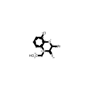 CC(C)C1Oc2c(Cl)cccc2N(CC(=O)O)C1=S